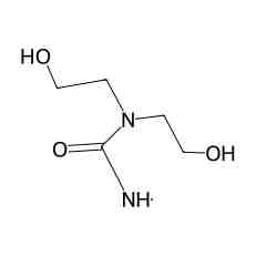 [NH]C(=O)N(CCO)CCO